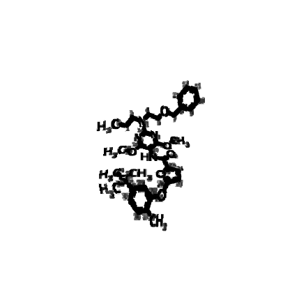 CCCN(CCOCc1ccccc1)c1nc(OC)c(NC(=O)c2ccc(Oc3cc([Si](C)(C)C)ccc3C)o2)c(OC)n1